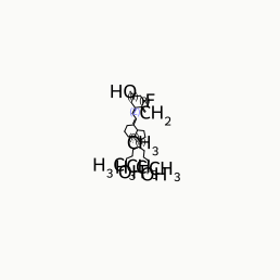 C=C1/C(=C\C=C2CCC[C@@]3(C)C2CC[C@@H]3C(CCCC(C)(C)O)CCCC(C)(C)O)C[C@@H](O)C[C@H]1F